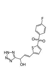 O=S(=O)(c1ccc(F)cc1)c1ccc(C=CC(O)c2nn[nH]n2)s1